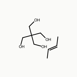 CC=CC.OCC(CO)(CO)CO